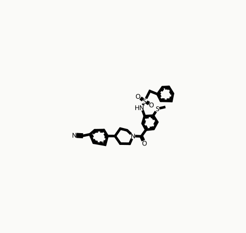 CSc1ccc(C(=O)N2CCC(c3ccc(C#N)cc3)CC2)cc1NS(=O)(=O)Cc1ccccc1